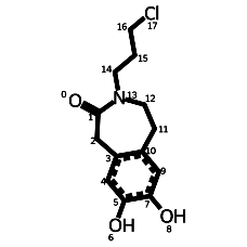 O=C1Cc2cc(O)c(O)cc2CCN1CCCCl